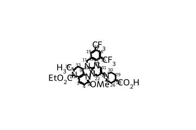 CCOC(=O)N1c2ccc(OC)nc2[C@@H](N(Cc2cc(C(F)(F)F)cc(C(F)(F)F)c2)c2ncc(N3CCC(C(=O)O)CC3)cn2)C[C@H]1C